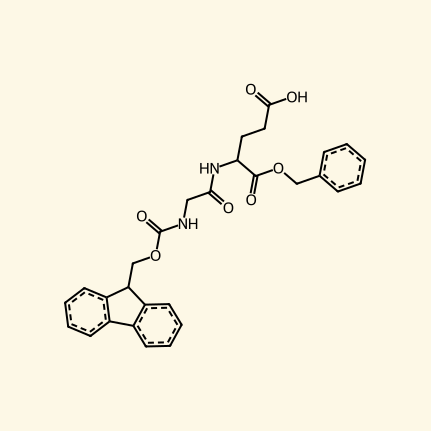 O=C(O)CCC(NC(=O)CNC(=O)OCC1c2ccccc2-c2ccccc21)C(=O)OCc1ccccc1